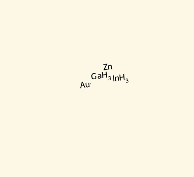 [Au].[GaH3].[InH3].[Zn]